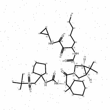 CC1([C@H](NC(=O)NC2(CS(=O)(=O)C(C)(C)C)CCCCC2)C(=O)N2C[C@H]3[C@@H]([C@H]2C(=O)NC(CCCCF)C(=O)C(=O)NC2CC2)C3(C)C)CCCCC1